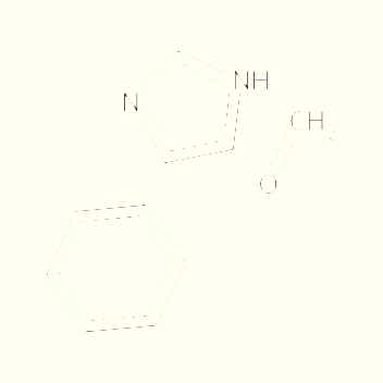 C=O.c1c[nH]cn1.c1ccccc1